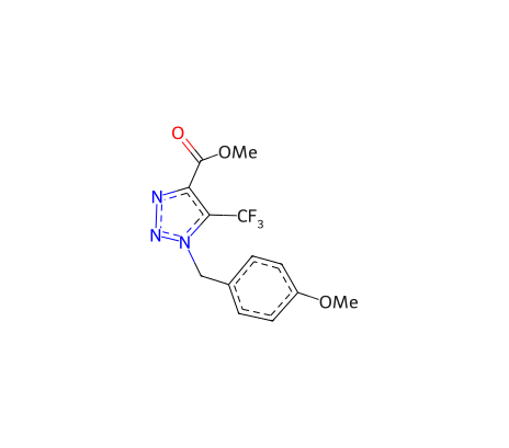 COC(=O)c1nnn(Cc2ccc(OC)cc2)c1C(F)(F)F